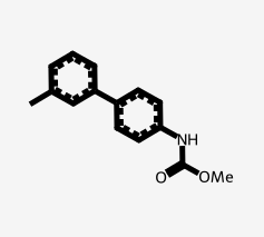 COC(=O)Nc1ccc(-c2cccc(C)c2)cc1